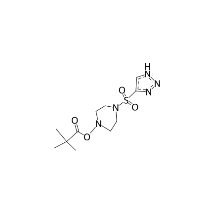 CC(C)(C)C(=O)ON1CCN(S(=O)(=O)c2c[nH]nn2)CC1